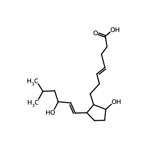 CC(C)CC(O)C=CC1CCC(O)C1CCC=CCCC(=O)O